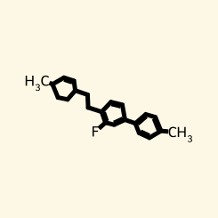 Cc1ccc(-c2ccc(CCC3C=CC(C)CC3)c(F)c2)cc1